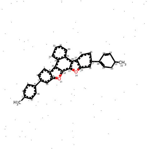 Cc1ccc(-c2ccc3c(c2)oc2c4oc5cc(C6=CCC(C)C=C6)ccc5c4c4ccccc4c32)cc1